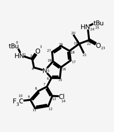 CC(C)(C)NC(=O)Cn1c(-c2cc(C(F)(F)F)ccc2Cl)cc2cc(C(C)(C)C(=O)NC(C)(C)C)ccc21